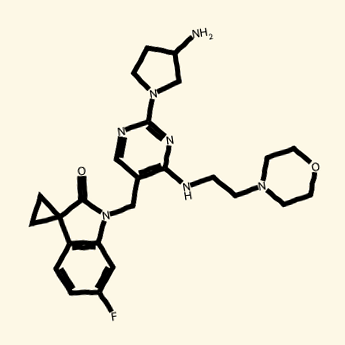 NC1CCN(c2ncc(CN3C(=O)C4(CC4)c4ccc(F)cc43)c(NCCN3CCOCC3)n2)C1